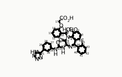 Cc1cccc2c1N(C(C=O)c1ccccc1OCC(=O)O)C(=O)[C@H](NC(=O)Nc1cccc(-c3nnn[nH]3)c1)N=C2c1ccccc1F